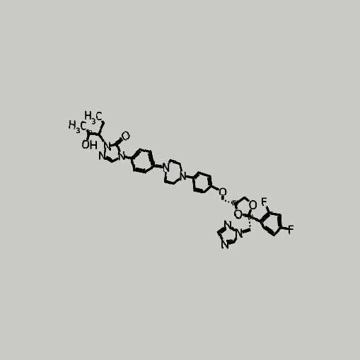 CCC([C@H](C)O)n1ncn(-c2ccc(N3CCN(c4ccc(OC[C@@H]5CO[C@@](Cn6cncn6)(c6ccc(F)cc6F)O5)cc4)CC3)cc2)c1=O